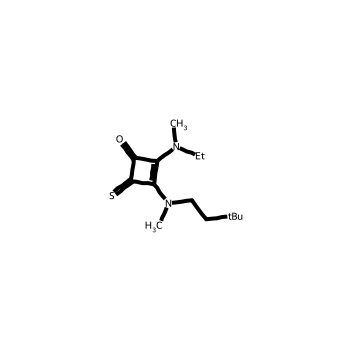 CCN(C)c1c(N(C)CCC(C)(C)C)c(=S)c1=O